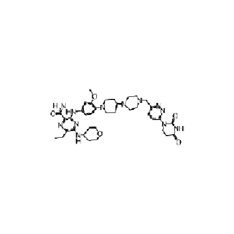 CCc1nc(C(N)=O)c(Nc2ccc(N3CCC(N4CCN(Cc5ccc(N6CCC(=O)NC6=O)nn5)CC4)CC3)c(OC)c2)nc1NC1CCOCC1